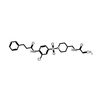 C=CC(=O)NCC1CCN(S(=O)(=O)c2ccc(NC(=O)CCc3ccccc3)c(Cl)c2)CC1